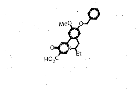 CCC1Cc2cc(OCc3ccccc3)c(OC)cc2-c2cc(=O)c(C(=O)O)cn21